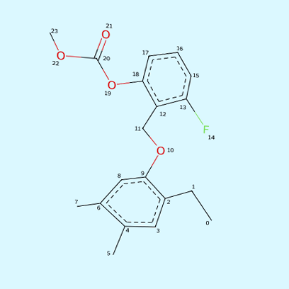 CCc1cc(C)c(C)cc1OCc1c(F)cccc1OC(=O)OC